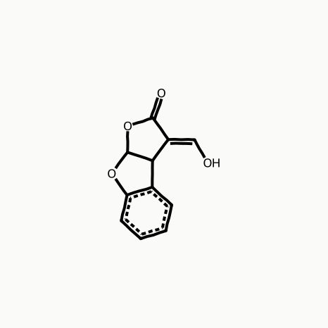 O=C1OC2Oc3ccccc3C2/C1=C\O